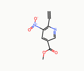 C#Cc1ncc(C(=O)OC)cc1[N+](=O)[O-]